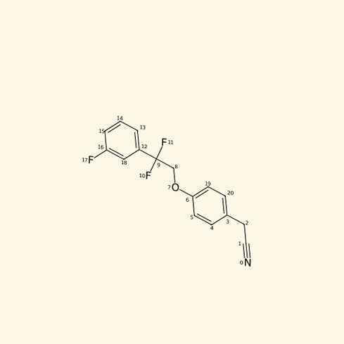 N#CCc1ccc(OCC(F)(F)c2cccc(F)c2)cc1